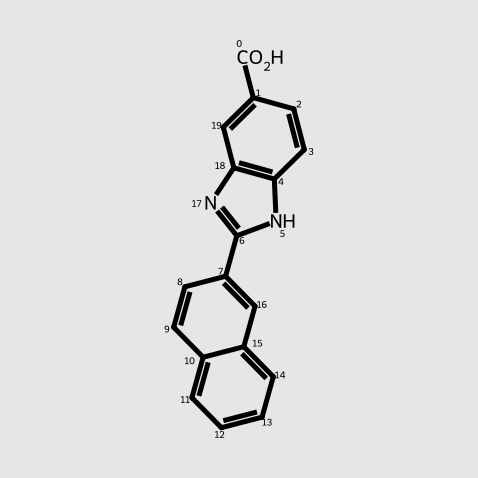 O=C(O)c1ccc2[nH]c(-c3ccc4ccccc4c3)nc2c1